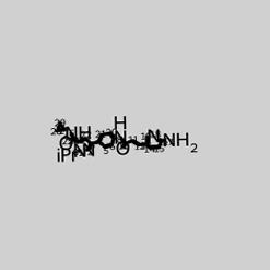 CC(C)n1nc(-c2ccc(NC(=O)C=Cc3ccc(N)nc3)cc2)cc1C(=O)NC1CC1